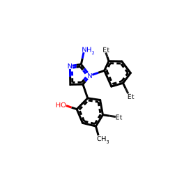 CCc1ccc(CC)c(-n2c(-c3cc(CC)c(C)cc3O)cnc2N)c1